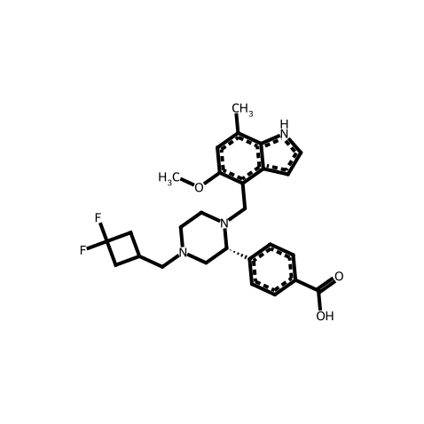 COc1cc(C)c2[nH]ccc2c1CN1CCN(CC2CC(F)(F)C2)C[C@H]1c1ccc(C(=O)O)cc1